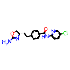 NC1=N[C@@H](CCc2ccc(C(=O)Nc3ccc(Cl)cn3)cc2)CO1